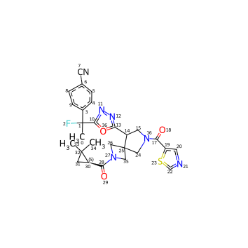 CC(F)(c1ccc(C#N)cc1)c1nnc(C2CN(C(=O)c3cncs3)CC23CN(C(=O)[C@H]2CC2(C)C)C3)o1